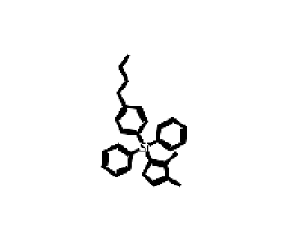 CCCCc1ccc([Si](C2=C(C)C(C)=CC2)(c2ccccc2)c2ccccc2)cc1